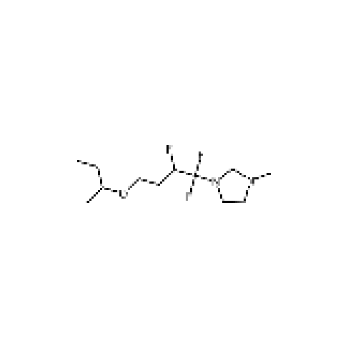 CCC(C)OCCC(F)C(F)(F)N1CCN(C)C1